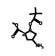 COC(=O)[C@@H]1CC(N)CN1OC(=O)C(C)(C)C